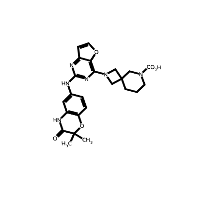 CC1(C)Oc2ccc(Nc3nc(N4CC5(CCCN(C(=O)O)C5)C4)c4occc4n3)cc2NC1=O